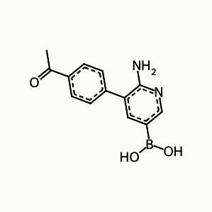 CC(=O)c1ccc(-c2cc(B(O)O)cnc2N)cc1